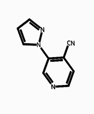 N#Cc1ccncc1-n1cccn1